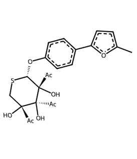 CC(=O)[C@]1(O)[C@@](O)(C(C)=O)CS[C@H](Oc2ccc(-c3ccc(C)o3)cc2)[C@@]1(O)C(C)=O